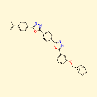 C=C(C)c1ccc(-c2nnc(-c3ccc(-c4nnc(-c5cccc(OCC6CC7C=CC6C7)c5)o4)cc3)o2)cc1